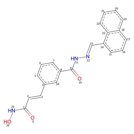 O=C(/C=C/c1cccc(C(=O)N/N=C/c2cccc3ccccc23)c1)NO